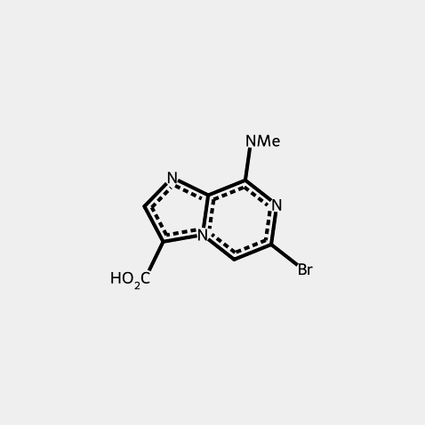 CNc1nc(Br)cn2c(C(=O)O)cnc12